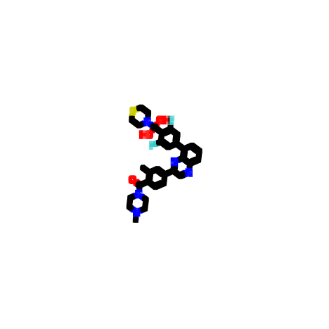 Cc1cc(-c2cnc3cccc(-c4cc(F)c(C(O)(O)N5CCSCC5)c(F)c4)c3n2)ccc1C(=O)N1CCN(C)CC1